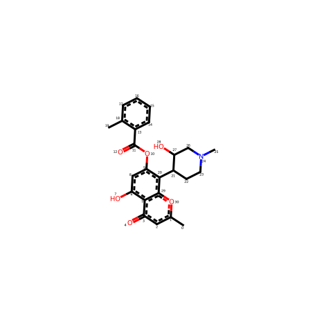 Cc1cc(=O)c2c(O)cc(OC(=O)c3ccccc3C)c(C3CCN(C)CC3O)c2o1